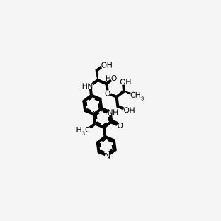 Cc1c(-c2ccncc2)c(=O)[nH]c2cc(N[C@@H](CO)C(O)OC(CO)[C@H](C)O)ccc12